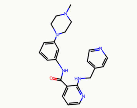 CN1CCN(c2cccc(NC(=O)c3cccnc3NCc3ccncc3)c2)CC1